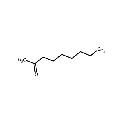 CCCCCCCC(C)=O